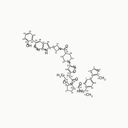 Cc1ncsc1-c1ccc([C@H](C)NC(=O)[C@@H]2CCCN2C(=O)[C@@H](c2cc(N3CCC(C(=O)N4CC(c5cc6cc(-c7ccccc7O)nnc6[nH]5)C4)CC3)no2)C(C)C)cc1